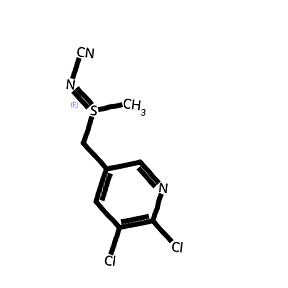 C/S(Cc1cnc(Cl)c(Cl)c1)=N\C#N